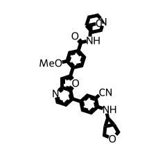 COc1cc(C(=O)NC2CN3CCC2CC3)ccc1-c1cc2nccc(-c3ccc(NC4C5COCC54)c(C#N)c3)c2o1